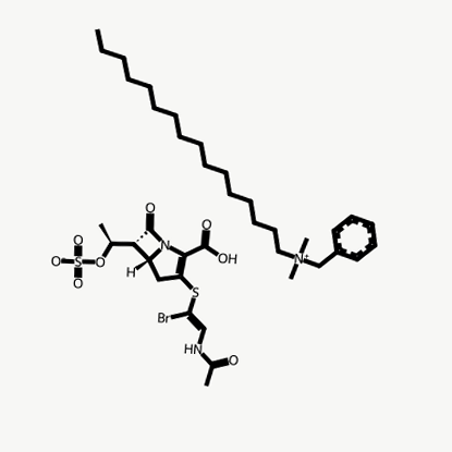 CC(=O)NC=C(Br)SC1=C(C(=O)O)N2C(=O)[C@@H]([C@H](C)OS(=O)(=O)[O-])[C@H]2C1.CCCCCCCCCCCCCCCC[N+](C)(C)Cc1ccccc1